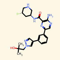 CC(C)(O)Cn1cc(-c2cccc(-c3cnc(N)c(C(=O)N[C@@H]4CNC[C@@H](F)C4)n3)c2)cn1